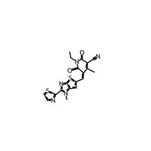 CCN1C(=O)C(C#N)=C(C)/C(=C/c2cc3c(nc(-c4nccs4)n3C)s2)C1=O